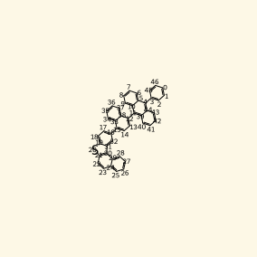 c1ccc(-c2c3ccccc3c(-c3ccc(-c4ccc5sc6ccc7ccccc7c6c5c4)c4ccccc34)c3ccccc23)cc1